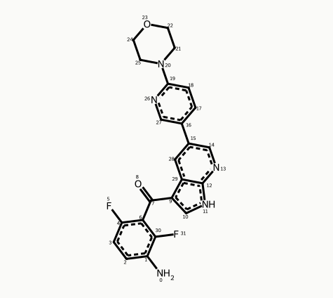 Nc1ccc(F)c(C(=O)c2c[nH]c3ncc(-c4ccc(N5CCOCC5)nc4)cc23)c1F